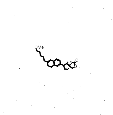 COCCCCCC1=Cc2ccc(C3CC[C@]4(COC(=O)N4)C3)cc2CC1